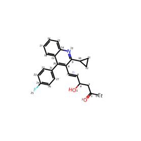 CCC(=O)CC(O)/C=C/c1c(C2CC2)nc2ccccc2c1-c1ccc(F)cc1